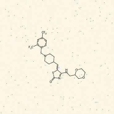 O=C1N=C(NCC2COCCO2)/C(=C/C2CCN(Cc3ccc(C(F)(F)F)cc3C(F)(F)F)CC2)S1